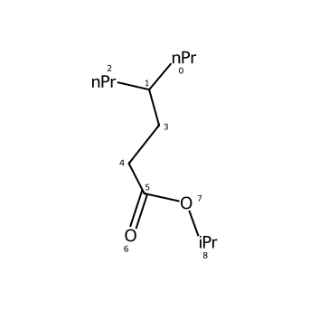 CCCC(CCC)CCC(=O)OC(C)C